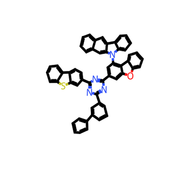 c1ccc(-c2cccc(-c3nc(-c4cc(-n5c6ccccc6c6cc7ccccc7cc65)c5c(c4)oc4ccccc45)nc(-c4ccc5c(c4)sc4ccccc45)n3)c2)cc1